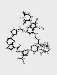 CCO[C@@H]1CCN(c2ccn3ncc(C(=O)Nc4cn([C@H]5CC[C@H](CN6[C@@H]7CC[C@H]6CN(CCCCc6cccc8c6n(C)c(=O)n8C6CCC(=O)NC6=O)C7)CC5)nc4C(F)F)c3n2)C1